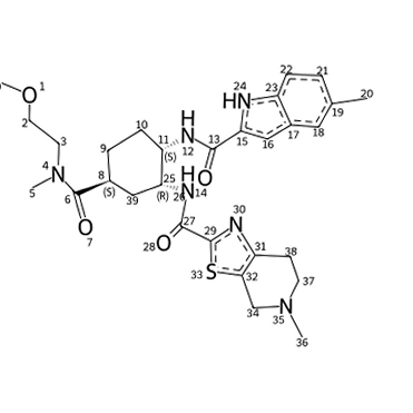 COCCN(C)C(=O)[C@H]1CC[C@H](NC(=O)c2cc3cc(C)ccc3[nH]2)[C@H](NC(=O)c2nc3c(s2)CN(C)CC3)C1